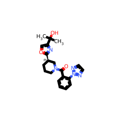 CC(C)(O)c1coc([C@@H]2CCCN(C(=O)c3ccccc3-n3nccn3)C2)n1